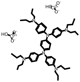 CCCN(CCC)c1ccc(N(c2ccc(N(CCC)CCC)cc2)c2ccc(N(c3ccc(N(CCC)CCC)cc3)c3ccc(N(CCC)CCC)cc3)cc2)cc1.[O-][Cl+2]([O-])O.[O-][Cl+2]([O-])O